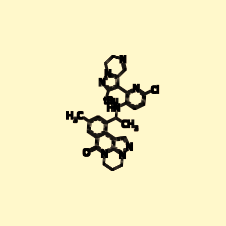 Cc1cc(C(C)Nc2ccc(Cl)nc2-c2c(C(C)(C)C)nn3c2C=NCC3)c2c(c1)c(=O)n1c3c2cnn3CCC1